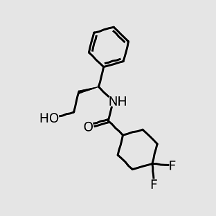 O=C(N[C@@H](CCO)c1ccccc1)C1CCC(F)(F)CC1